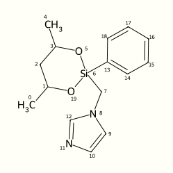 CC1CC(C)O[Si](Cn2ccnc2)(c2ccccc2)O1